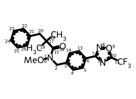 CON(Cc1ccc(-c2noc(C(F)(F)F)n2)cc1)C(=O)C(C)(C)Cc1ccccc1